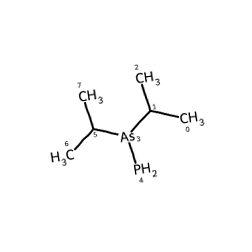 CC(C)[As](P)C(C)C